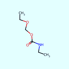 CCNC(=O)OCOCC